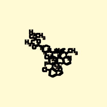 Cc1ccnc(C(C)C)c1-n1c(=O)nc(N2CCN(C(=O)OC(C)(C)C)C[C@@H]2C)c2cc(F)c(-c3c(Cl)ccc4ccoc34)nc21